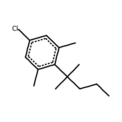 CCCC(C)(C)c1c(C)cc(Cl)cc1C